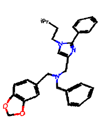 CC(C)CCn1cc(CN(Cc2ccccc2)Cc2ccc3c(c2)OCO3)nc1-c1ccccc1